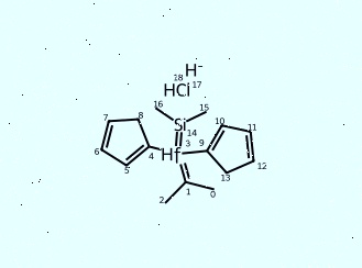 C[C](C)=[Hf]([C]1=CC=CC1)([C]1=CC=CC1)=[Si](C)C.Cl.[H-]